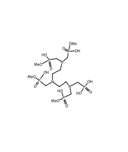 COP(=O)(O)CN(CCN(CP(=O)(O)O)CP(=O)(O)OC)CCN(CP(=O)(O)OC)CP(=O)(O)OC